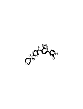 O=c1cc(-c2ccc(Nc3cnc(S(=O)(=O)N4CCOCC4)nc3)c3ncnn23)cc[nH]1